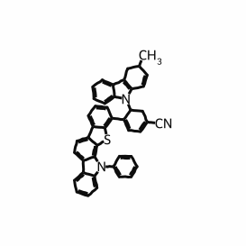 CC1C=Cc2c(c3ccccc3n2C2CC(C#N)=CC=C2c2cccc3c2sc2c3ccc3c4ccccc4n(-c4ccccc4)c32)C1